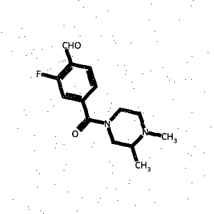 CC1CN(C(=O)c2ccc(C=O)c(F)c2)CCN1C